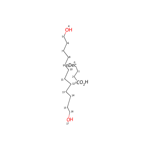 CCCCCCCCCCCCC(=O)O.OCCCCCCCCCCCCO